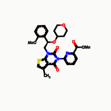 COC(=O)c1cccc(-n2c(=O)c3c(C)csc3n(C[C@H](OC3CCOCC3)c3ccccc3OC)c2=O)n1